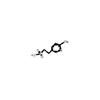 CS(=O)(=O)CCc1ccc(C#N)nc1